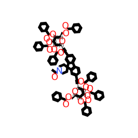 CC(=O)N1CCC2(CC1)c1cc(C#C[C@H]3O[C@H](COC(=O)c4ccccc4)[C@@H](OC(=O)c4ccccc4)[C@H](OC(=O)c4ccccc4)[C@@H]3OC(=O)c3ccccc3)ccc1-c1ccc(C#C[C@H]3O[C@H](COC(=O)c4ccccc4)[C@@H](OC(=O)c4ccccc4)[C@H](OC(=O)c4ccccc4)[C@@H]3OC(=O)c3ccccc3)cc12